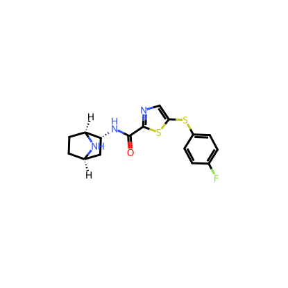 O=C(N[C@@H]1C[C@H]2CC[C@@H]1N2)c1ncc(Sc2ccc(F)cc2)s1